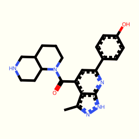 Cc1n[nH]c2nc(-c3ccc(O)cc3)cc(C(=O)N3CCCC4CNCCC43)c12